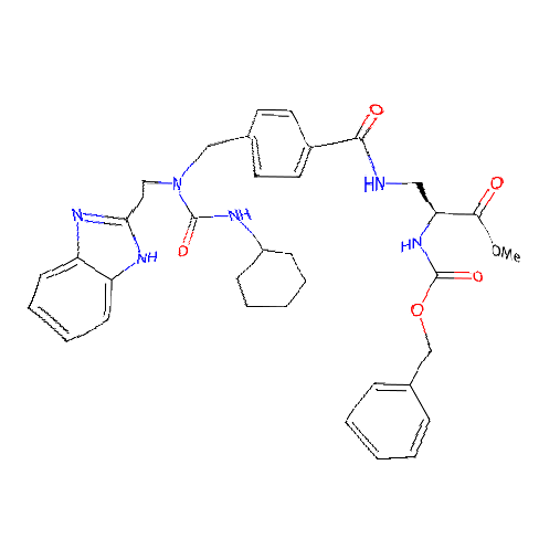 COC(=O)[C@H](CNC(=O)c1ccc(CN(Cc2nc3ccccc3[nH]2)C(=O)NC2CCCCC2)cc1)NC(=O)OCc1ccccc1